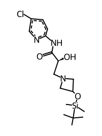 CC(C)(C)[Si](C)(C)OC1CN(C[C@H](O)C(=O)Nc2ccc(Cl)cn2)C1